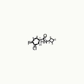 O=C(NC1CCC1)c1ccc(F)c(Cl)c1